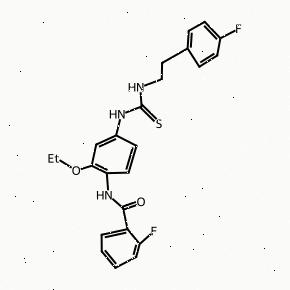 CCOc1cc(NC(=S)NCCc2ccc(F)cc2)ccc1NC(=O)c1ccccc1F